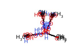 CC(=O)N[C@H]1[C@@H]2OC[C@@](COCCCCC(=O)NCCCNC(=O)CCOCC(COCCC(=O)NCCCNC(=O)CCCCOC[C@@]34CO[C@H](O3)[C@H](NC(C)=O)[C@@H](O)C4)(COCCC(=O)NCCCNC(=O)CCCCOC[C@@]34CC[C@@H](NC(C)=O)[C@H](OC3)O4)NC(=O)CCCCCCCCCCC(=O)C(C)(C)C)(C[C@@H]1O)O2